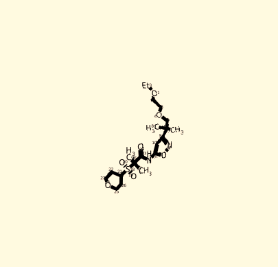 CCOCCOCC(C)(C)c1cc(NC(=O)C(C)(C)S(=O)(=O)C2CCOCC2)on1